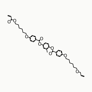 C=CCOCCCCCCOc1ccc(C(=O)Oc2ccc(OC(=O)c3ccc(OCCCCCCOC(=O)C=C)cc3)cc2C)cc1